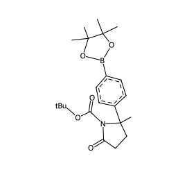 CC(C)(C)OC(=O)N1C(=O)CCC1(C)c1ccc(B2OC(C)(C)C(C)(C)O2)cc1